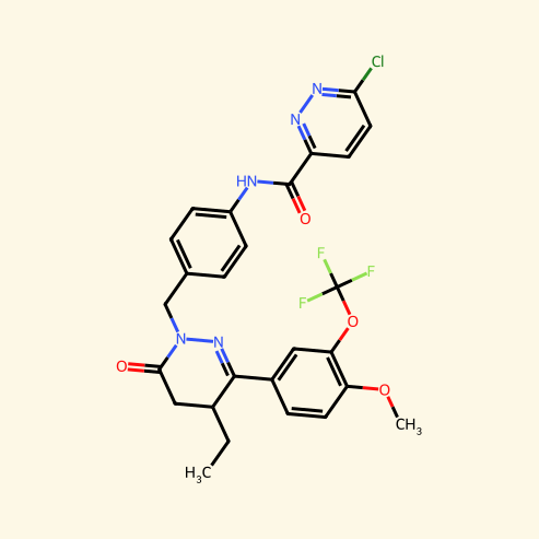 CCC1CC(=O)N(Cc2ccc(NC(=O)c3ccc(Cl)nn3)cc2)N=C1c1ccc(OC)c(OC(F)(F)F)c1